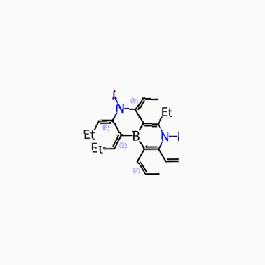 C=CC1=C(/C=C\C)B2C(=C(CC)N1I)/C(=C\C)N(I)C(=C/CC)/C2=C\CC